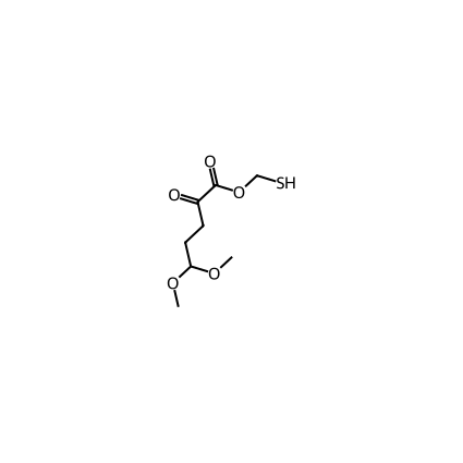 COC(CCC(=O)C(=O)OCS)OC